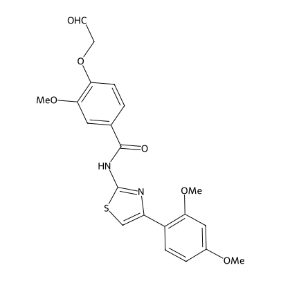 COc1ccc(-c2csc(NC(=O)c3ccc(OCC=O)c(OC)c3)n2)c(OC)c1